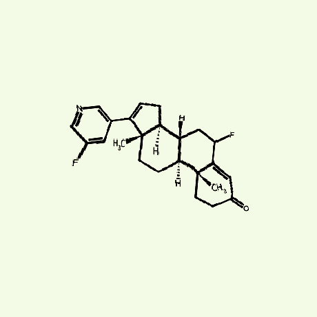 C[C@]12CCC(=O)C=C1C(F)C[C@@H]1[C@@H]2CC[C@]2(C)C(c3cncc(F)c3)=CC[C@@H]12